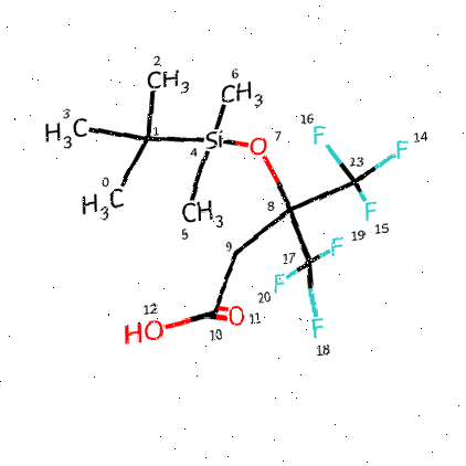 CC(C)(C)[Si](C)(C)OC(CC(=O)O)(C(F)(F)F)C(F)(F)F